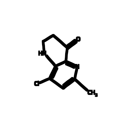 Cc1cc(Cl)c2c(n1)C(=O)CCN2